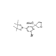 COC1(c2cc(B3OC(C)(C)C(C)(C)O3)cc(Br)n2)CCOC1